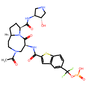 CC(=O)N1CC[C@H]2CC[C@@H](C(=O)N[C@H]3CNC[C@@H]3O)N2C(=O)[C@@H](NC(=O)c2cc3cc(C(F)(F)O[PH](=O)O)ccc3s2)C1